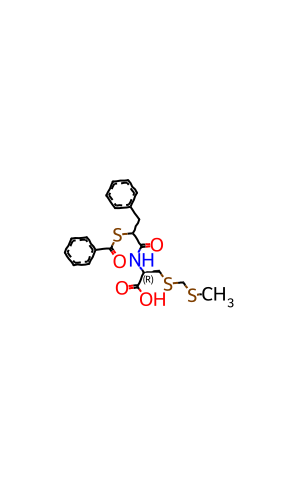 CSCSC[C@H](NC(=O)C(Cc1ccccc1)SC(=O)c1ccccc1)C(=O)O